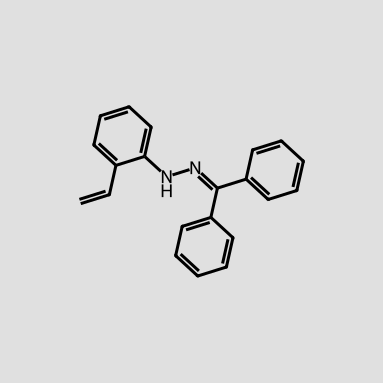 C=Cc1ccccc1NN=C(c1ccccc1)c1ccccc1